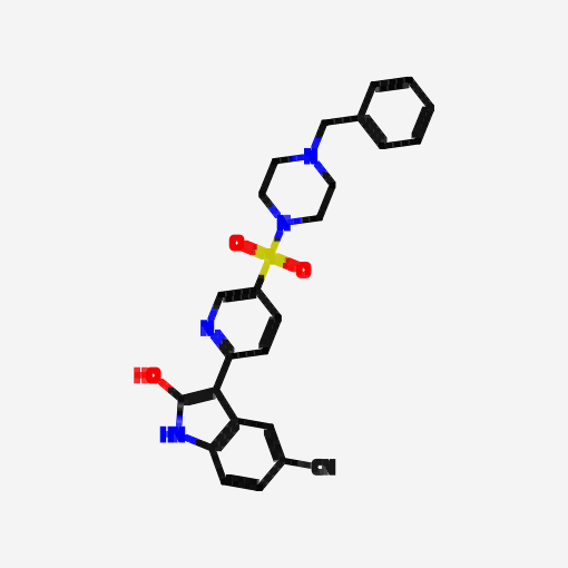 N#Cc1ccc2[nH]c(O)c(-c3ccc(S(=O)(=O)N4CCN(Cc5ccccc5)CC4)cn3)c2c1